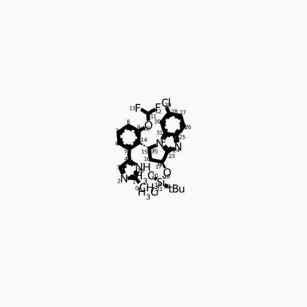 Cc1ncc(-c2cccc(OC(F)F)c2[C@H]2C[C@H](O[Si](C)(C)C(C)(C)C)c3nc4ccc(Cl)cc4n32)[nH]1